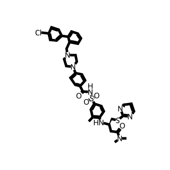 Cc1cc(S(=O)(=O)NC(=O)c2ccc(N3CCN(Cc4ccccc4-c4ccc(Cl)cc4)CC3)cc2)ccc1N[C@@H](CSc1ncccn1)CC(=O)N(C)C